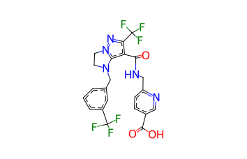 O=C(O)c1ccc(CNC(=O)c2c(C(F)(F)F)nn3c2N(Cc2cccc(C(F)(F)F)c2)CC3)nc1